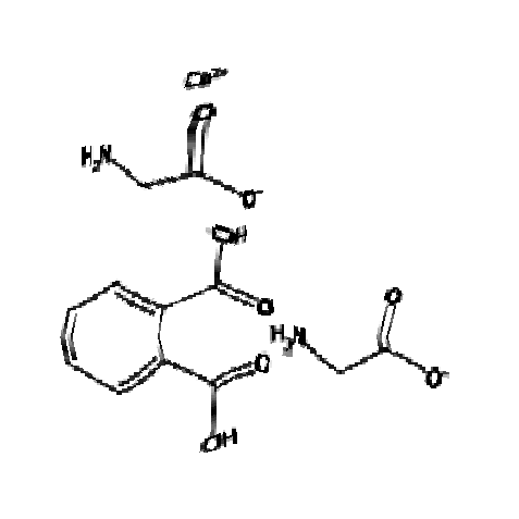 NCC(=O)[O-].NCC(=O)[O-].O=C(O)c1ccccc1C(=O)O.[Ca+2]